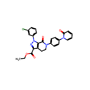 CCOC(=O)c1nn(-c2cccc(Cl)c2)c2c1CCN(c1ccc(-n3ccccc3=O)cc1)C2=O